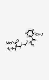 COC(=O)C(CN)CCCCN(C)C(=O)c1ccccc1C=O